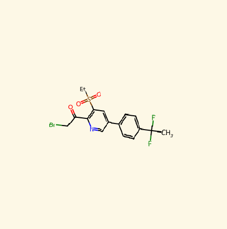 CCS(=O)(=O)c1cc(-c2ccc(C(C)(F)F)cc2)cnc1C(=O)CBr